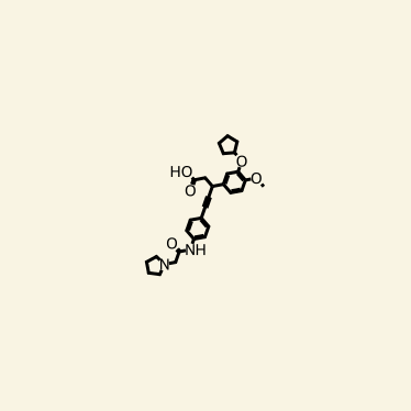 COc1ccc(C(C#Cc2ccc(NC(=O)CN3CCCC3)cc2)CC(=O)O)cc1OC1CCCC1